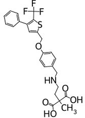 CC(CCNCc1ccc(OCc2cc(-c3ccccc3)c(C(F)(F)F)s2)cc1)(C(=O)O)C(=O)O